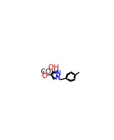 Cc1ccc(Cn2cc(OC(=O)O)c(O)n2)cc1